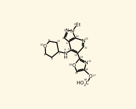 CCn1ncc2c(NC3CCOCC3)c(-c3nc(OC(=O)O)co3)cnc21